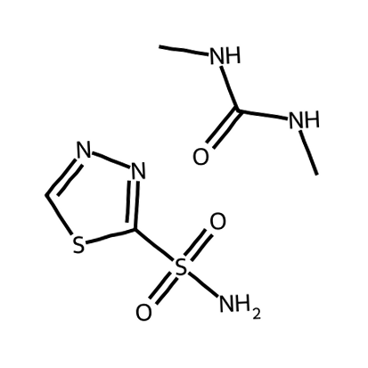 CNC(=O)NC.NS(=O)(=O)c1nncs1